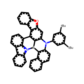 CC(C)(C)c1cc(N2c3cc4oc5ccccc5c4c4c3B(c3c2ccc2ccccc32)n2c3ccccc3c3cccc-4c32)cc(C(C)(C)C)c1